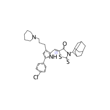 O=C1/C(=C/c2[nH]c(-c3ccc(Cl)cc3)cc2CCCN2CCCCC2)SC(=S)N1C1C2CC3CC(C2)CC1C3